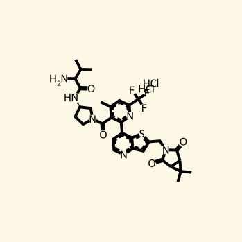 Cc1cc(C(F)(F)F)nc(-c2ccnc3cc(CN4C(=O)C5C(C4=O)C5(C)C)sc23)c1C(=O)N1CC[C@H](NC(=O)C(N)C(C)C)C1.Cl.Cl